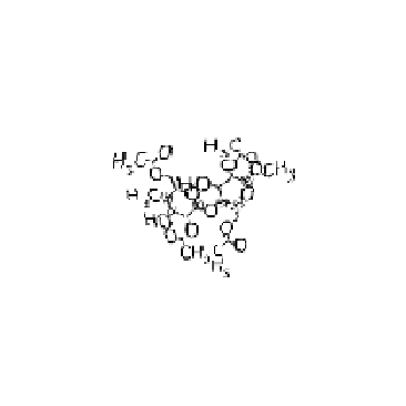 CO[C@@H]1O[C@@H](COC(C)=O)[C@@H](O[C@@H]2OC(COC(C)=O)[C@@H](C)[C@H](O)C2OC(C)=O)C(O)C1OC(C)=O